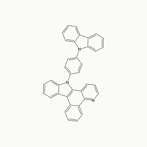 c1ccc2c(c1)c1ncccc1c1c2c2ccccc2n1-c1ccc(-n2c3ccccc3c3ccccc32)cc1